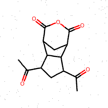 CC(=O)C1CC(C(C)=O)C2C3CC(C(=O)OC3=O)C12